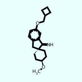 CO[C@H]1CC[C@]2(CC1)Cc1ccc(OCC3CCC3)cc1C2=N